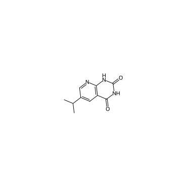 CC(C)c1cnc2[nH]c(=O)[nH]c(=O)c2c1